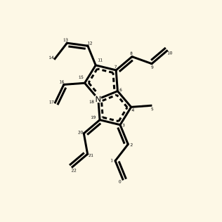 C=C/C=c1/c(C)c2/c(=C\C=C)c(/C=C\C)c(C=C)n2/c1=C/C=C